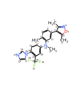 Cc1ccc(-c2c(C)noc2C)cc1N(C)c1ccc(-n2ccnc2)c(C(F)(F)F)c1